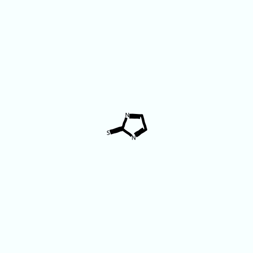 S=C1N=CC=N1